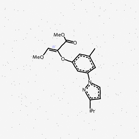 CO/C=C(\Oc1cc(C)cc(-n2ccc(C(C)C)n2)c1)C(=O)OC